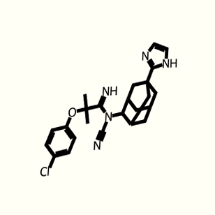 CC(C)(Oc1ccc(Cl)cc1)C(=N)N(C#N)C1C2CC3CC1CC(c1ncc[nH]1)(C3)C2